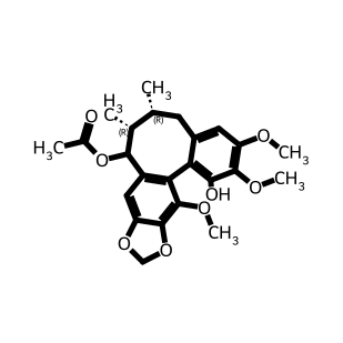 COc1cc2c(c(O)c1OC)-c1c(cc3c(c1OC)OCO3)C(OC(C)=O)[C@H](C)[C@H](C)C2